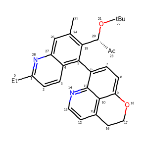 CCc1ccc2c(-c3ccc4c5c(ccnc35)CCO4)c([C@H](OC(C)(C)C)C(C)=O)c(C)cc2n1